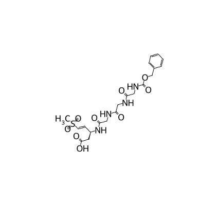 CS(=O)(=O)/C=C/[C@H](CC(=O)O)NC(=O)CNC(=O)CNC(=O)CNC(=O)OCc1ccccc1